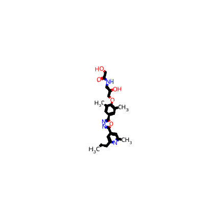 CCCc1cc(-c2nnc(-c3cc(C)c(OCC(O)CNC(=O)CO)c(C)c3)o2)cc(C)n1